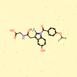 Cc1c(CC(=O)NCC(=O)O)c2cc(O)ccc2n1C(=O)c1ccc(OC(F)F)cc1